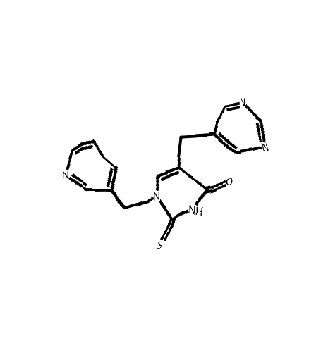 O=c1[nH]c(=S)n(Cc2cccnc2)cc1Cc1cncnc1